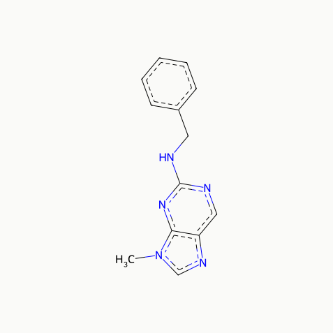 Cn1cnc2cnc(NCc3ccccc3)nc21